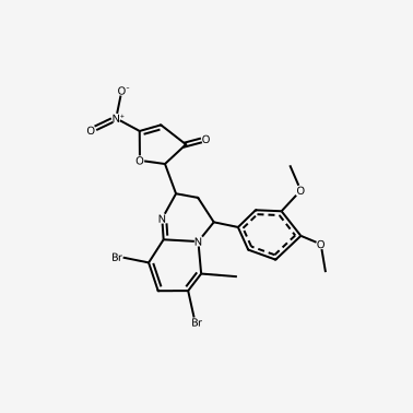 COc1ccc(C2CC(C3OC([N+](=O)[O-])=CC3=O)N=C3C(Br)=CC(Br)=C(C)N32)cc1OC